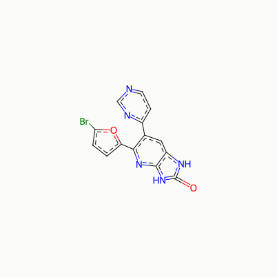 O=c1[nH]c2cc(-c3ccncn3)c(-c3ccc(Br)o3)nc2[nH]1